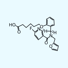 [2H]C([2H])(c1ccccc1OCCCCCC(=O)O)N(Cc1ccco1)C(=O)c1ccc(F)nc1